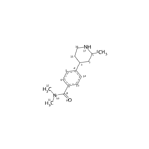 CC1CC(c2ccc(C(=O)N(C)C)cc2)CCN1